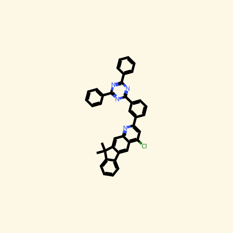 CC1(C)c2ccccc2-c2cc3c(Cl)cc(-c4cccc(-c5nc(-c6ccccc6)nc(-c6ccccc6)n5)c4)nc3cc21